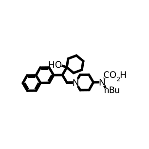 CCCCN(C(=O)O)C1CCN(CC(c2ccc3ccccc3c2)C2(O)CCCCC2)CC1